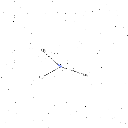 CCCCCCCCCCCCCCCCCCCN1C=CN(CCCCCCCCCCCCCCCCCC)C1CCCCCCCCCCCCCCC